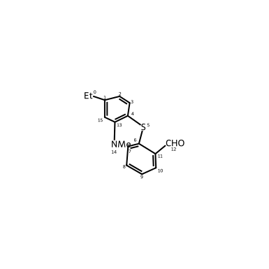 CCc1ccc(Sc2ccccc2C=O)c(NC)c1